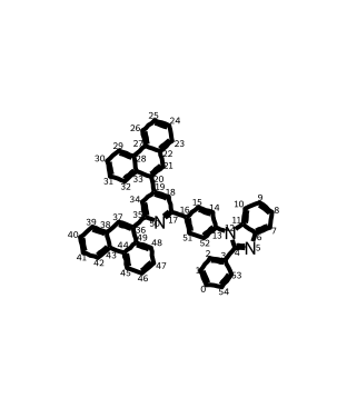 c1ccc(-c2nc3ccccc3n2-c2ccc(-c3cc(-c4cc5ccccc5c5ccccc45)cc(-c4cc5ccccc5c5ccccc45)n3)cc2)cc1